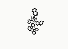 c1ccc(-c2nc(-c3ccc4ccccc4c3)nc(-c3ccc4ccccc4c3)n2)c(-c2ccc3c(c2)C2(c4ccccc4-c4ccccc42)c2ccccc2-3)c1